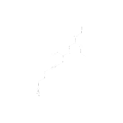 CCOC(CSC(C=O)CC#CCCCC#N)OCC